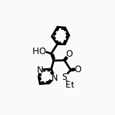 CCSC(=O)C(=O)/C(=C(/O)c1ccccc1)c1ncccn1